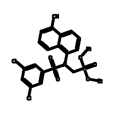 CCOP(=O)(CN(c1cccc2c(C#N)cccc12)S(=O)(=O)c1cc(Cl)cc(Cl)c1)OCC